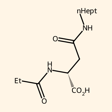 CCCCCCCNC(=O)C[C@@H](NC(=O)CC)C(=O)O